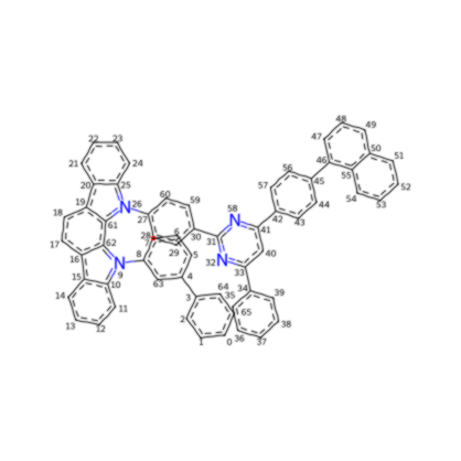 c1ccc(-c2cccc(-n3c4ccccc4c4ccc5c6ccccc6n(-c6ccc(-c7nc(-c8ccccc8)cc(-c8ccc(-c9cccc%10ccccc9%10)cc8)n7)cc6)c5c43)c2)cc1